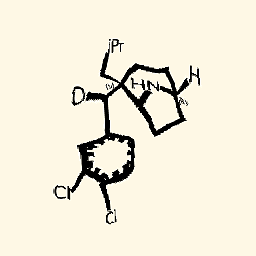 CC(C)C[C@@]1(C(=O)c2ccc(Cl)c(Cl)c2)CC[C@@H]2CCC1N2